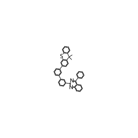 CC1(C)c2ccccc2Sc2cc(-c3cccc(-c4cccc(-c5nc(-c6ccccc6)c6ccccc6n5)c4)c3)ccc21